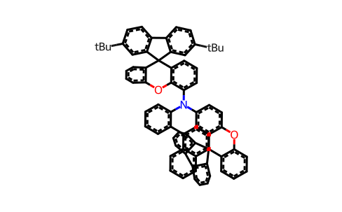 CC(C)(C)c1ccc2c(c1)C1(c3ccccc3Oc3c(N(c4ccc5c(c4)C4(c6ccccc6O5)c5ccccc5-c5ccccc54)c4ccccc4-c4cccc5ccccc45)cccc31)c1cc(C(C)(C)C)ccc1-2